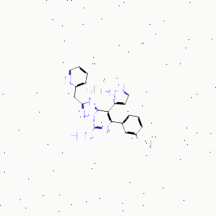 CCCn1nccc1-c1c(-c2cccc(C#N)c2)nc(N)n2nc(Cc3ccccn3)nc12